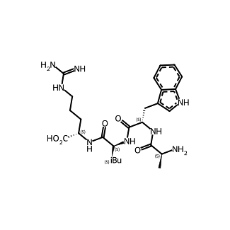 CC[C@H](C)[C@H](NC(=O)[C@H](Cc1c[nH]c2ccccc12)NC(=O)[C@H](C)N)C(=O)N[C@@H](CCCNC(=N)N)C(=O)O